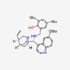 C=C[C@H]1CN2CC[C@H]1C[C@@H]2[C@H](NCc1cc(C(C)(C)C)cc(C(C)(C)C)c1O)c1ccnc2ccc(OC)cc12